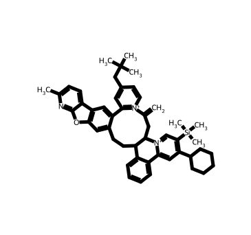 C=C1CC2C(CCc3cc4oc5nc(C)ccc5c4cc3-c3cc(CC(C)(C)C)cc[n+]31)c1ccccc1-c1cc(C3CCCCC3)c([Si](C)(C)C)c[n+]12